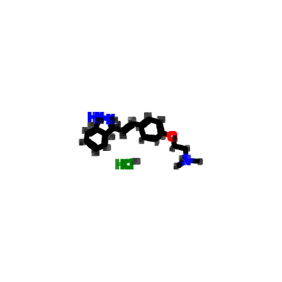 CN(C)CCOc1ccc(C=Cc2n[nH]c3ccccc23)cc1.Cl